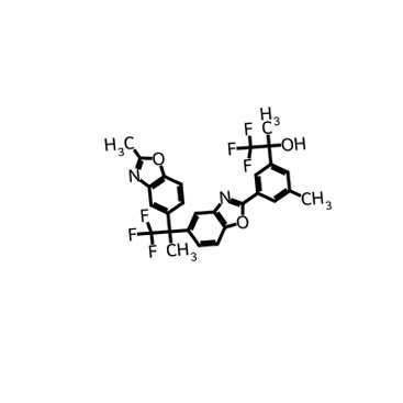 Cc1cc(-c2nc3cc(C(C)(c4ccc5oc(C)nc5c4)C(F)(F)F)ccc3o2)cc(C(C)(O)C(F)(F)F)c1